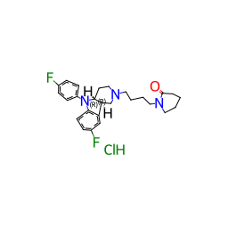 Cl.O=C1CCCCN1CCCCN1CC[C@@H]2[C@@H](C1)c1cc(F)ccc1N2c1ccc(F)cc1